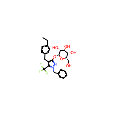 CCc1ccc(Cc2c(O[C@H]3O[C@H](CO)[C@@H](O)[C@H](O)[C@H]3O)nn(Cc3ccccc3)c2C(F)(F)F)cc1